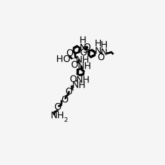 CCCNC(=O)Nc1cccc(S(=O)(=O)Nc2cccc([C@@H](CC(=O)O)NC(=O)Nc3ccc(NC(=O)NCCOCCOCCOCCN)cc3)c2)c1